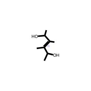 C/C(=C(/C)C(C)O)C(C)O